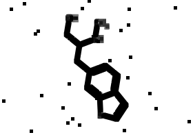 CNC(CO)Cc1ccc2ccsc2c1